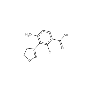 Cc1ccc(C(=O)S)c(Cl)c1C1=NOCC1